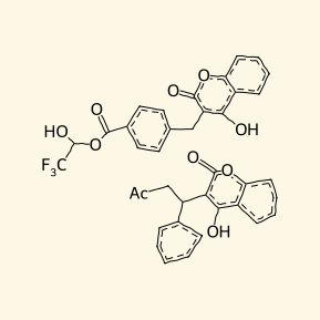 CC(=O)CC(c1ccccc1)c1c(O)c2ccccc2oc1=O.O=C(OC(O)C(F)(F)F)c1ccc(Cc2c(O)c3ccccc3oc2=O)cc1